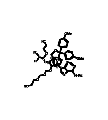 COc1ccc(C(OC[C@H]2O[C@@H](n3cnc4c(NC(C)=O)ncnc43)C(OCOCOCCC#N)[C@H]2OP(OCCC#N)N(C(C)C)C(C)C)(c2ccccc2)c2ccc(OC)cc2)cc1